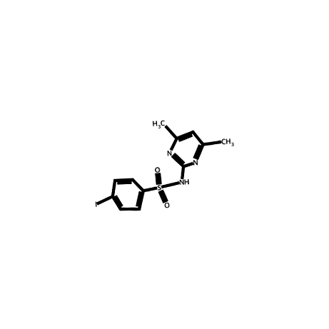 Cc1cc(C)nc(NS(=O)(=O)c2ccc(I)cc2)n1